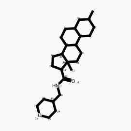 CC1CCC2C(CCC3C2CCC2(C)C(C(=O)NCC4CCOCC4)CCC32)C1